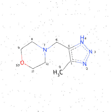 Cc1nn[nH]c1CN1CCOCC1